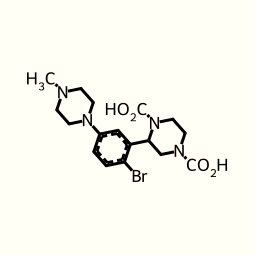 CN1CCN(c2ccc(Br)c(C3CN(C(=O)O)CCN3C(=O)O)c2)CC1